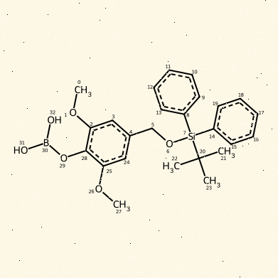 COc1cc(CO[Si](c2ccccc2)(c2ccccc2)C(C)(C)C)cc(OC)c1OB(O)O